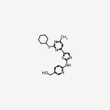 Cc1cc(-c2cnc(Nc3ccc(CO)cn3)s2)nc(SC2CCCCC2)n1